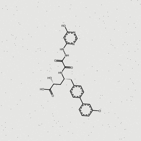 O=C(NNc1cc(O)ncn1)C(=O)N[C@H](Cc1ccc(-c2cccc(Cl)c2)cc1)C[C@@H](O)C(=O)O